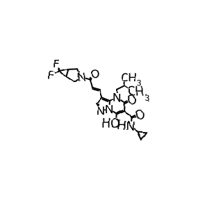 CC(C)Cn1c(=O)c(C(=O)NC2CC2)c(O)n2ncc(C=CC(=O)N3CC4C(C3)C4(F)F)c12